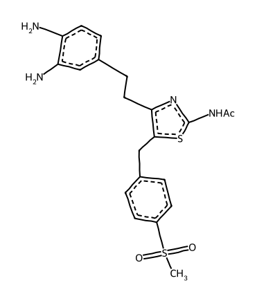 CC(=O)Nc1nc(CCc2ccc(N)c(N)c2)c(Cc2ccc(S(C)(=O)=O)cc2)s1